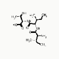 CC[C@H](C)[C@H](N)C(=O)N[C@H](C(=O)N[C@H](C(=O)O)[C@@H](C)O)[C@@H](C)CC